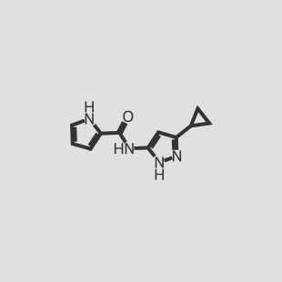 O=C(Nc1cc(C2CC2)n[nH]1)c1ccc[nH]1